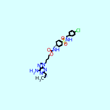 C/C=C\c1nc(N)c2ncn(CCCCOC(=O)NC[C@H]3C=CC(S(=O)(=O)NCc4ccc(Cl)cc4)=CC3)c2n1